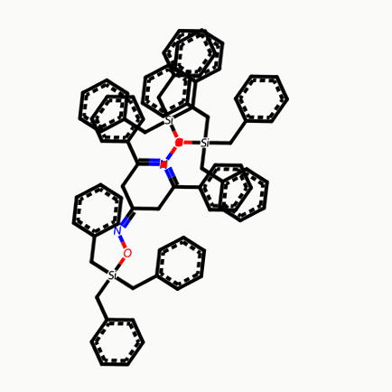 c1ccc(C[Si](Cc2ccccc2)(Cc2ccccc2)ON=C(CC(=NO[Si](Cc2ccccc2)(Cc2ccccc2)Cc2ccccc2)c2ccccc2)CC(=NO[Si](Cc2ccccc2)(Cc2ccccc2)Cc2ccccc2)c2ccccc2)cc1